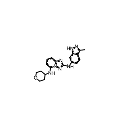 Cc1n[nH]c2cc(Nc3nc4cccc(NC5CCOCC5)n4n3)ccc12